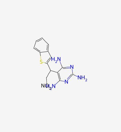 Nc1nc(N)c(C(C[N+](=O)[O-])c2cc3ccccc3s2)c(N)n1